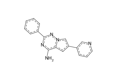 Nc1nc(-c2ccccc2)nn2cc(-c3cccnc3)cc12